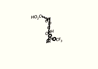 CN(CCOCCOCCNC(=O)c1ccc2c(c1)c1cn(C)nc1n2-c1ccc(C(F)(F)F)cc1)C(=O)CCCCCC(=O)O